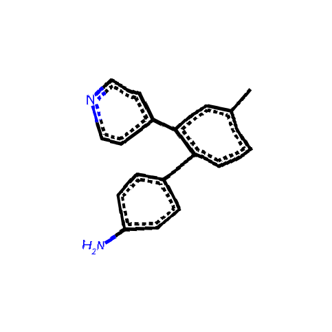 Cc1ccc(-c2ccc(N)cc2)c(-c2ccncc2)c1